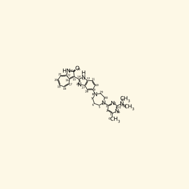 Cc1cc(N2CCCN(c3ccc4[nH]c(-c5c6cccccc-6[nH]c5=O)nc4c3)CC2)nc(N(C)C)n1